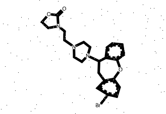 O=C1OCCN1CCN1CCN(C2Cc3cc(Br)ccc3Oc3ccccc32)CC1